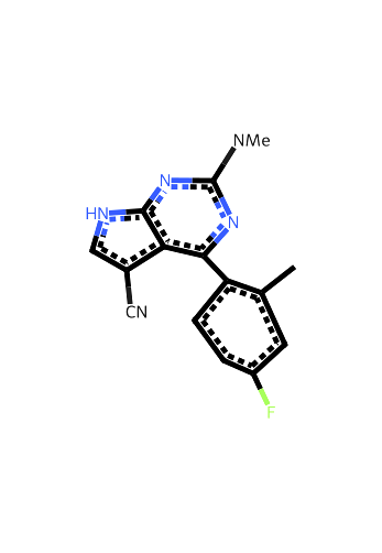 CNc1nc(-c2ccc(F)cc2C)c2c(C#N)c[nH]c2n1